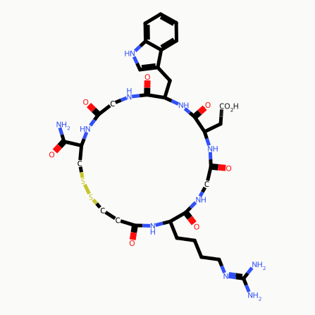 NC(=O)C1CSSCCC(=O)NC(CCCCN=C(N)N)C(=O)NCC(=O)NC(CC(=O)O)C(=O)NC(Cc2c[nH]c3ccccc23)C(=O)NCC(=O)N1